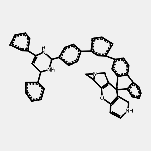 C1=CC2=C(CN1)C1(C3=C(O2)C2CN2C3)c2ccccc2-c2ccc(-c3cccc(-c4ccc(C5NC(c6ccccc6)=CC(c6ccccc6)N5)cc4)c3)cc21